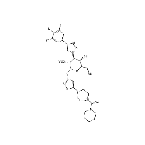 CO[C@@H]1[C@@H](n2cc(-c3cc(F)c(F)c(F)c3)nn2)[C@@H](O)[C@@H](CO)O[C@@H]1Cc1cc(C2CCN(C(=O)N3CCCCC3)CC2)on1